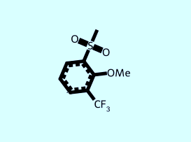 COc1c(C(F)(F)F)[c]ccc1S(C)(=O)=O